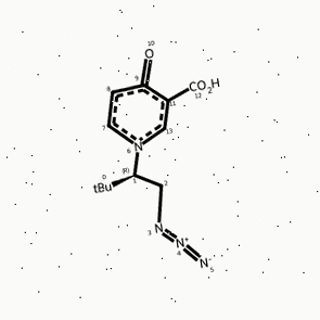 CC(C)(C)[C@H](CN=[N+]=[N-])n1ccc(=O)c(C(=O)O)c1